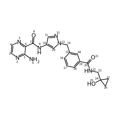 Nc1nccnc1C(=O)Nc1cnn(Cc2cccc(C(=O)NCC3(O)CC3)c2)c1